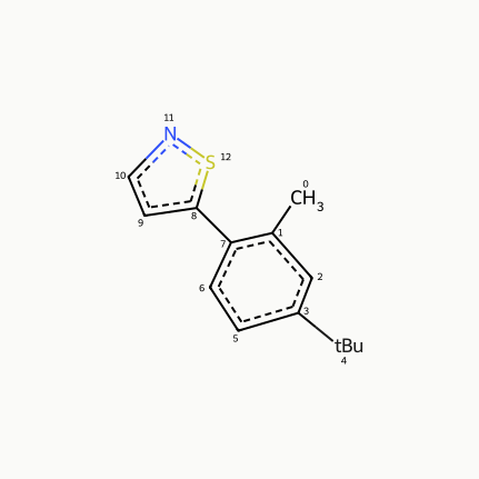 Cc1cc(C(C)(C)C)ccc1-c1ccns1